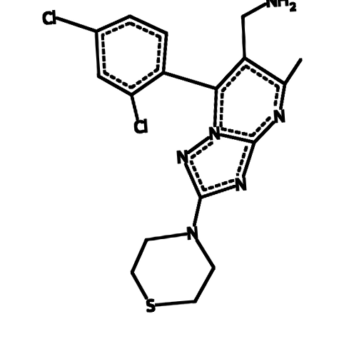 Cc1nc2nc(N3CCSCC3)nn2c(-c2ccc(Cl)cc2Cl)c1CN